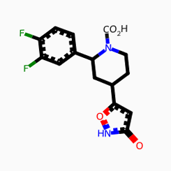 O=C(O)N1CCC(c2cc(=O)[nH]o2)CC1c1ccc(F)c(F)c1